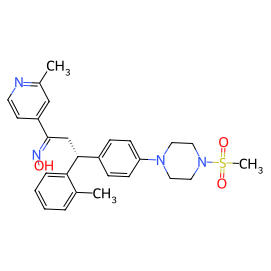 Cc1cc(/C(C[C@H](c2ccc(N3CCN(S(C)(=O)=O)CC3)cc2)c2ccccc2C)=N/O)ccn1